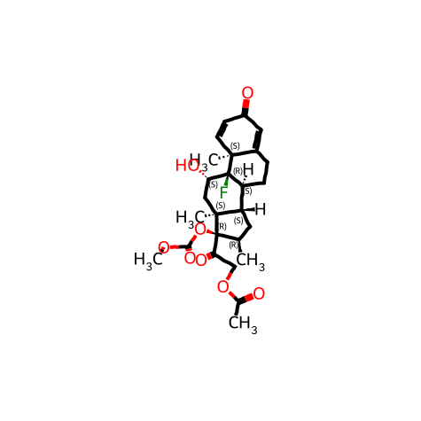 COC(=O)O[C@]1(C(=O)COC(C)=O)[C@H](C)C[C@H]2[C@@H]3CCC4=CC(=O)C=C[C@]4(C)[C@@]3(F)[C@@H](O)C[C@@]21C